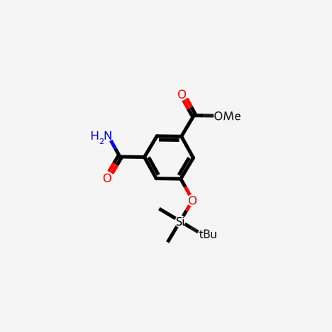 COC(=O)c1cc(O[Si](C)(C)C(C)(C)C)cc(C(N)=O)c1